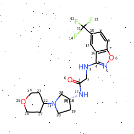 O=C(CNc1noc2ccc(C(F)(F)F)cc12)N[C@@H]1CCN(C2CCOCC2)C1